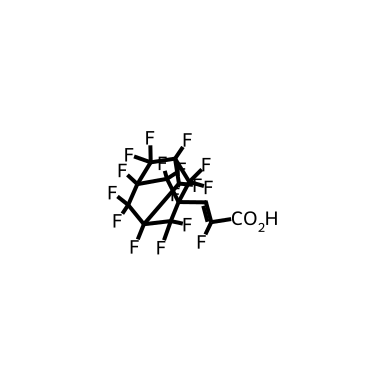 O=C(O)C(F)=CC12C(F)(F)C3(F)C(F)(F)C(F)(C(F)(F)C(F)(C3(F)F)C1(F)F)C2(F)F